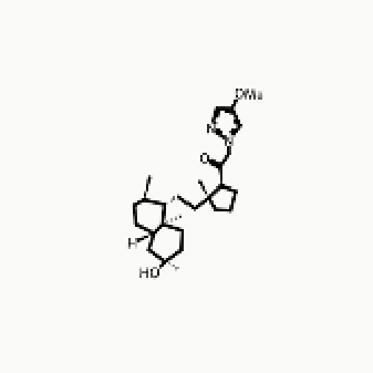 COc1cnn(CC(=O)[C@H]2CCC[C@]2(C)CC[C@H]2[C@H](C)CC[C@H]3C[C@](C)(O)CC[C@@]32C)c1